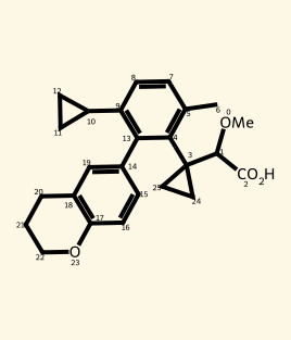 COC(C(=O)O)C1(c2c(C)ccc(C3CC3)c2-c2ccc3c(c2)CCCO3)CC1